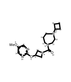 COc1cnc(OC2CN(C(=O)N3CCCN(C4CCC4)CC3)C2)nc1